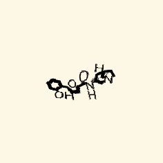 O=C(N[C@@H]1C[C@@H]2CCN(C2)C1)c1ccc(-c2ccccc2O)o1